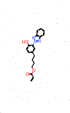 C=CC(=O)OCCCCc1ccc(O)c(-n2nc3ccccc3n2)c1